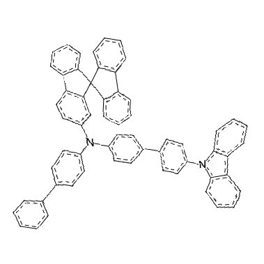 c1ccc(-c2ccc(N(c3ccc(-c4ccc(-n5c6ccccc6c6ccccc65)cc4)cc3)c3ccc4c(c3)C3(c5ccccc5-c5ccccc53)c3ccccc3-4)cc2)cc1